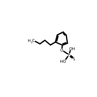 CCCCc1ccccc1OP(O)(O)=S